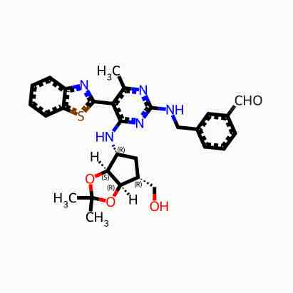 Cc1nc(NCc2cccc(C=O)c2)nc(N[C@@H]2C[C@H](CO)[C@H]3OC(C)(C)O[C@H]32)c1-c1nc2ccccc2s1